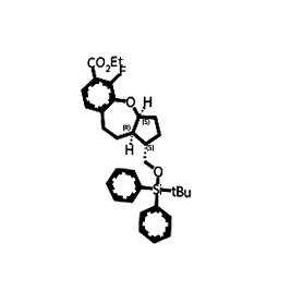 CCOC(=O)c1ccc2c(c1F)O[C@H]1CC[C@H](CO[Si](c3ccccc3)(c3ccccc3)C(C)(C)C)[C@H]1CC2